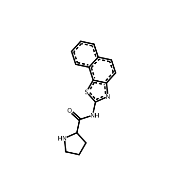 O=C(Nc1nc2ccc3ccccc3c2s1)C1CCCN1